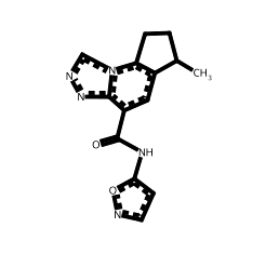 CC1CCc2c1cc(C(=O)Nc1ccno1)c1nncn21